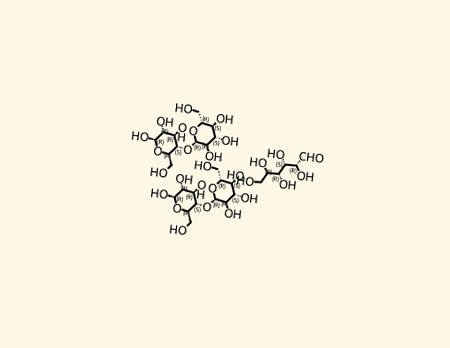 O=C[C@H](O)[C@@H](O)[C@H](O)[C@H](O)CO.OC[C@H]1O[C@H](O[C@H]2[C@H](O)[C@@H](O)[C@H](O)O[C@@H]2CO)[C@H](O)[C@@H](O)[C@@H]1O.OC[C@H]1O[C@H](O[C@H]2[C@H](O)[C@@H](O)[C@H](O)O[C@@H]2CO)[C@H](O)[C@@H](O)[C@@H]1O